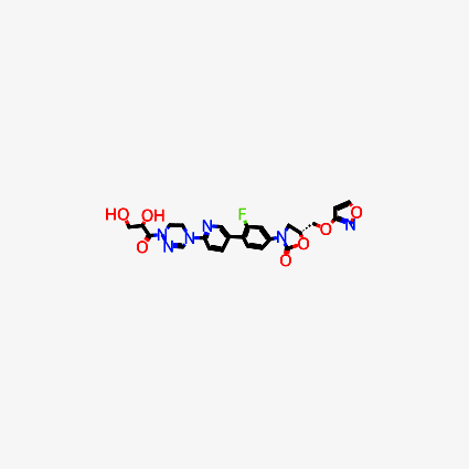 O=C(C(O)CO)N1CCN(c2ccc(-c3ccc(N4C[C@H](COc5ccon5)OC4=O)cc3F)cn2)C=N1